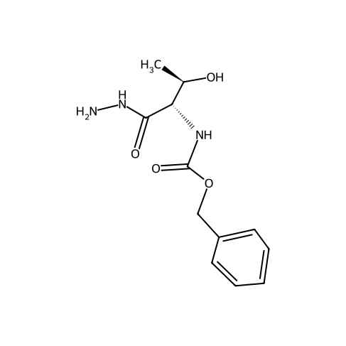 C[C@@H](O)[C@H](NC(=O)OCc1ccccc1)C(=O)NN